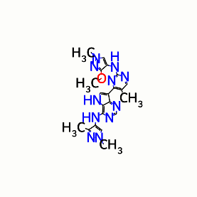 COc1nn(C)cc1Nc1ncc(C)c(-c2c[nH]c3c(Nc4cn(C)nc4C)ncnc23)n1